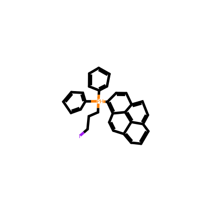 ICCC[PH](c1ccccc1)(c1ccccc1)c1ccc2ccc3cccc4ccc1c2c34